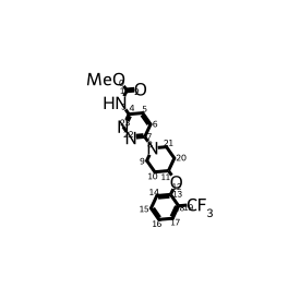 COC(=O)Nc1ccc(N2CCC(Oc3ccccc3C(F)(F)F)CC2)nn1